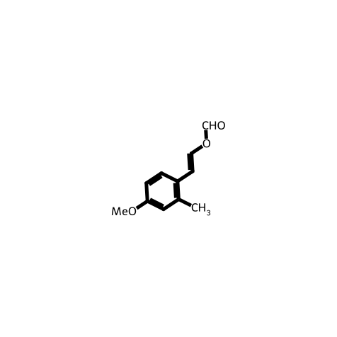 COc1ccc(/C=C/OC=O)c(C)c1